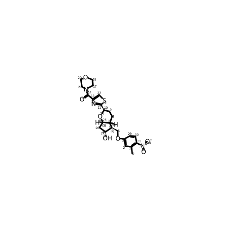 Cc1cc(OC[C@@H]2[C@H]3CC[C@H](c4nc(C(=O)N5CCOCC5)cs4)O[C@H]3C[C@H]2O)ccc1[N+](=O)[O-]